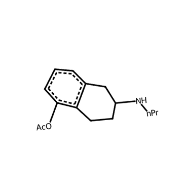 CCCNC1CCc2c(cccc2OC(C)=O)C1